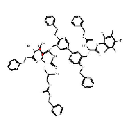 CC[C@@H](C)C(NC(=O)[C@H](Cc1cc(-c2ccc(OCc3ccccc3)c(C[C@H](NC(=O)OCc3ccccc3)C(=O)Oc3c(F)c(F)c(F)c(F)c3F)c2)ccc1OCc1ccccc1)NC(=O)[C@H](C[C@@H](O)CNC(=O)OCc1ccccc1)NC(=O)OC(C)(C)C)C(=O)OCc1ccccc1